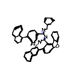 N/C(=N\C(=N/Cc1ccccc1)c1ccc(-c2cccc3ccccc23)cc1)c1c(-c2ccc3ccccc3c2)ccc2oc3ccccc3c12